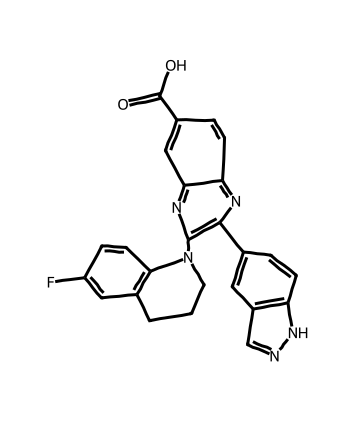 O=C(O)c1ccc2nc(-c3ccc4[nH]ncc4c3)c(N3CCCc4cc(F)ccc43)nc2c1